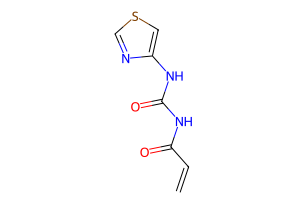 C=CC(=O)NC(=O)Nc1cscn1